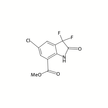 COC(=O)c1cc(Cl)cc2c1NC(=O)C2(F)F